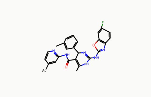 CC(=O)c1ccnc(NC(=O)C2=C(C)NC(Nc3nc4ccc(F)cc4o3)=NC2c2cccc(C)c2)c1